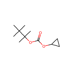 CC(C)(C)C(C)(C)OC(=O)OC1CC1